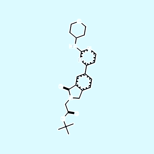 CC(C)(C)OC(=O)CN1Cc2ccc(-c3ccnc(NC4CCOCC4)n3)cc2C1=O